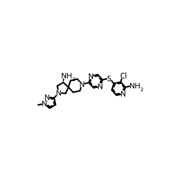 Cn1ccc(N2C[C@@H](N)C3(CCN(c4cnc(Sc5ccnc(N)c5Cl)cn4)CC3)C2)n1